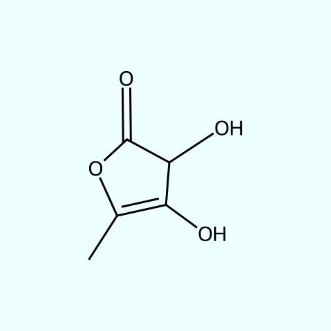 CC1=C(O)C(O)C(=O)O1